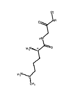 CCNC(=O)CNC(=O)[C@H](N)CCCN(C)N